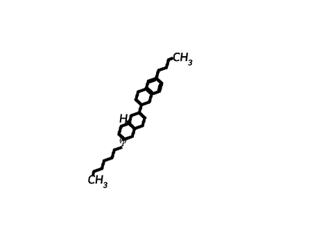 CCCCCCC[C@@H]1CC[C@@H]2CC(C3CCc4cc(CCCC)ccc4C3)CCC2C1